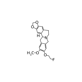 COc1cc2c(cc1OCCF)CN1CCc3cc4c(cc3[C@@H]1C2)OCO4